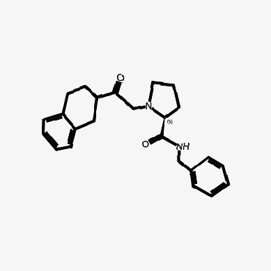 O=C(CN1CCC[C@H]1C(=O)NCc1ccccc1)C1CCc2ccccc2C1